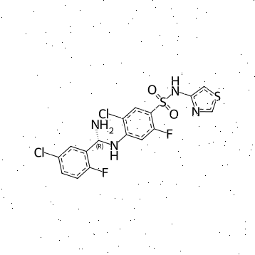 N[C@H](Nc1cc(F)c(S(=O)(=O)Nc2cscn2)cc1Cl)c1cc(Cl)ccc1F